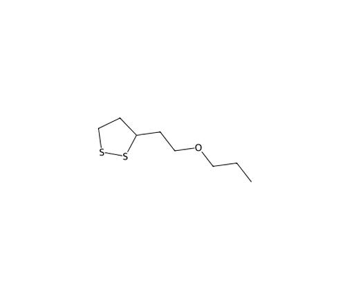 CCCOCCC1CCSS1